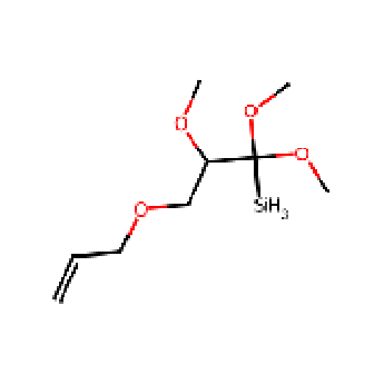 C=CCOCC(OC)C([SiH3])(OC)OC